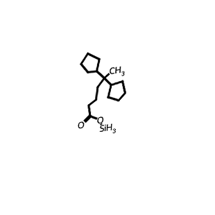 CC(CCCC(=O)O[SiH3])(C1CCCC1)C1CCCC1